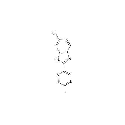 Cc1cnc(-c2nc3ccc(Cl)cc3[nH]2)cn1